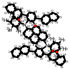 [2H]c1c([2H])c([2H])c(N(c2c(-c3ccc4ccccc4c3)ccc(-c3ccc4ccccc4c3)c2F)c2ccc3ccc4c(N(c5c([2H])c([2H])c([2H])c([2H])c5[2H])c5c(-c6ccc7ccccc7c6)ccc(-c6ccc7ccccc7c6)c5F)ccc5ccc2c3c54)c([2H])c1[2H]